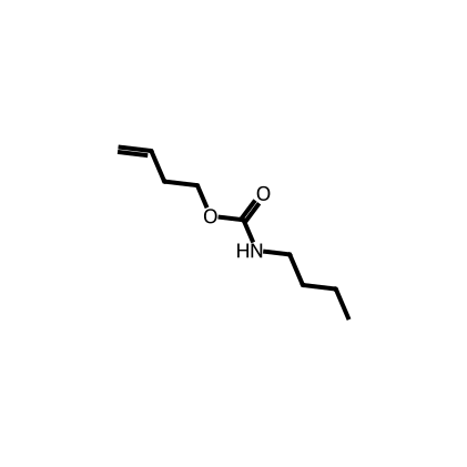 C=CCCOC(=O)NCCCC